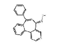 O/N=c1\nc(-c2ccccc2)c2ccccc2c2ccncc12